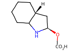 O=C(O)O[C@@H]1C[C@H]2CCCCC2N1